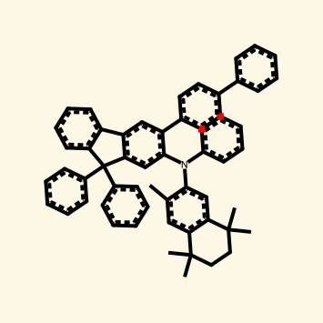 Cc1cc2c(cc1N(c1ccccc1)c1cc3c(cc1-c1ccc(-c4ccccc4)cc1)-c1ccccc1C3(c1ccccc1)c1ccccc1)C(C)(C)CCC2(C)C